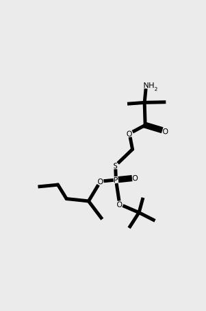 CCCC(C)OP(=O)(OC(C)(C)C)SCOC(=O)C(C)(C)N